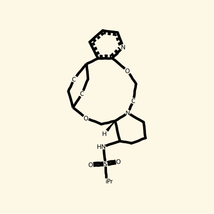 CC(C)S(=O)(=O)NC1CCCN2CCOc3ncccc3C3CCC(CC3)OC[C@@H]12